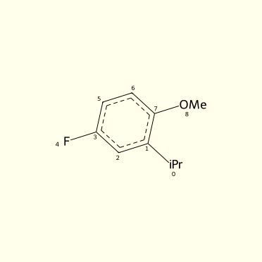 [CH2]C(C)c1cc(F)ccc1OC